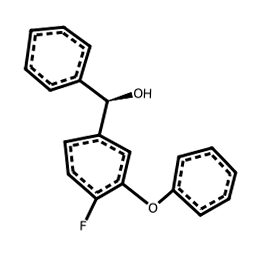 O[C@H](c1ccccc1)c1ccc(F)c(Oc2ccccc2)c1